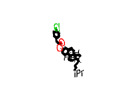 CC(C)CCC[C@@H](C)[C@H]1CC[C@H]2[C@@H]3CC=C4C[C@@H](OC(=O)Cc5ccc(Cl)cc5)CC[C@]4(C)[C@H]3CC[C@]12C